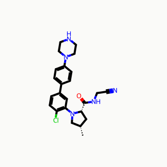 C[C@H]1C[C@@H](C(=O)NCC#N)N(c2cc(-c3ccc(N4CCNCC4)cc3)ccc2Cl)C1